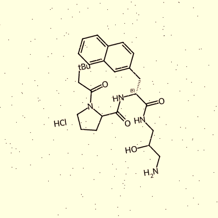 CC(C)(C)CC(=O)N1CCCC1C(=O)N[C@H](Cc1ccc2ccccc2c1)C(=O)NCC(O)CN.Cl